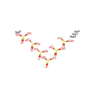 O=S(O)O.O=S(O)O.O=S(O)O.O=S(O)O.O=S(O)O.O=S(O)O.[NaH].[NaH].[NaH].[NaH]